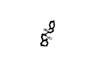 [O-][n+]1c(-c2ccc3ccccc3[n+]2[O-])ccc2ccccc21